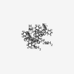 [N-]=[N+]=NN(C(=O)c1ccccc1)[C@@H](Cc1ccccc1)C(=O)N[C@@H](CCCCN)C(=O)N(C(=O)[C@H](CCCCN)NC(=O)[C@H](Cc1ccccc1)N(N=[N+]=[N-])C(=O)c1ccccc1)[C@@H](CCCCN)C(=O)O